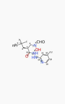 CCCC(C)(C)C[C@@H](CN(O)C=O)C(=O)NNc1cc(C)ccn1